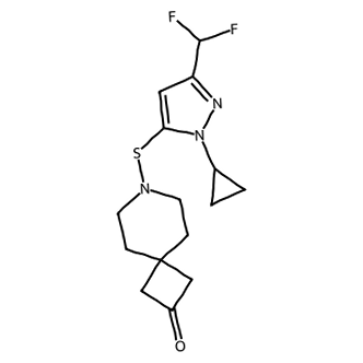 O=C1CC2(CCN(Sc3cc(C(F)F)nn3C3CC3)CC2)C1